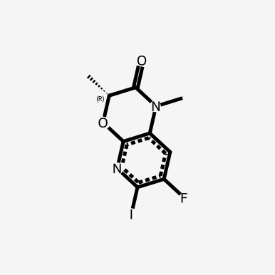 C[C@H]1Oc2nc(I)c(F)cc2N(C)C1=O